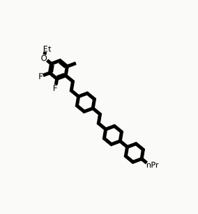 CCCC1CCC(C2CCC(CCC3CCC(CCc4c(C)cc(OCC)c(F)c4F)CC3)CC2)CC1